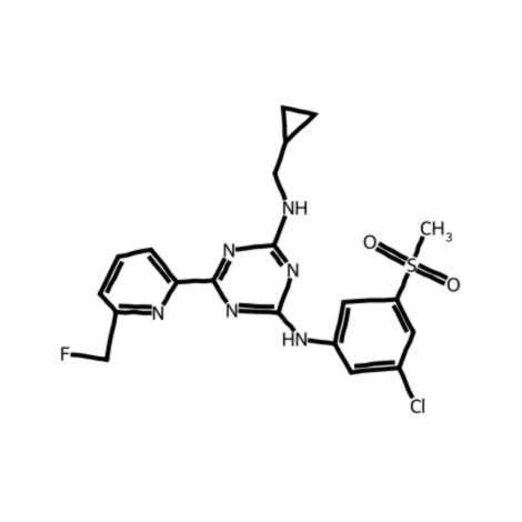 CS(=O)(=O)c1cc(Cl)cc(Nc2nc(NCC3CC3)nc(-c3cccc(CF)n3)n2)c1